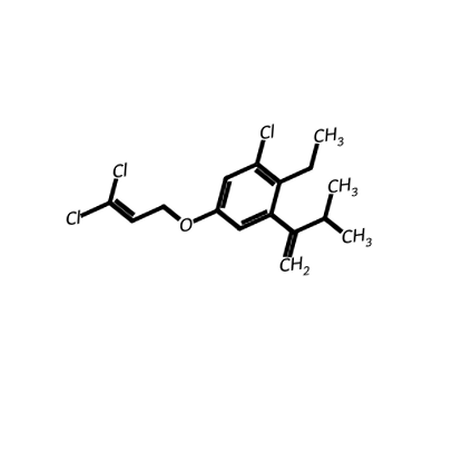 C=C(c1cc(OCC=C(Cl)Cl)cc(Cl)c1CC)C(C)C